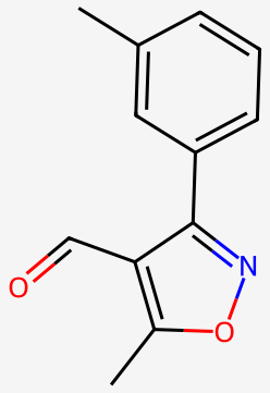 Cc1cccc(-c2noc(C)c2C=O)c1